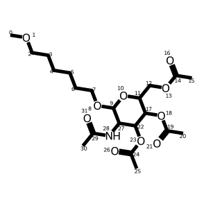 COCCCCCCOC1OC(COC(C)=O)C(OC(C)=O)C(OC(C)=O)C1NC(C)=O